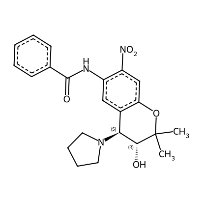 CC1(C)Oc2cc([N+](=O)[O-])c(NC(=O)c3ccccc3)cc2[C@H](N2CCCC2)[C@H]1O